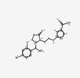 NC(c1ccc(Br)cc1F)[C@H]1CCC(=O)N1CCSc1nc(C(=O)O)cs1